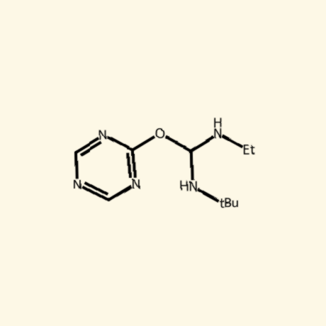 CCNC(NC(C)(C)C)Oc1ncncn1